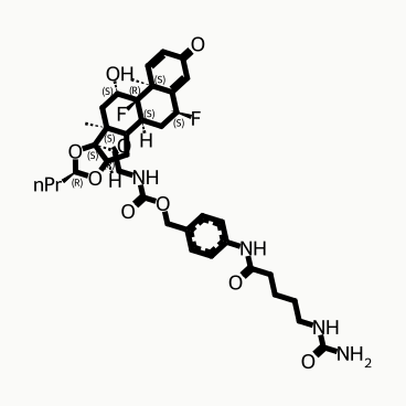 CCC[C@@H]1O[C@@H]2CC3[C@@H]4C[C@H](F)C5=CC(=O)C=C[C@]5(C)[C@@]4(F)[C@@H](O)C[C@]3(C)[C@]2(C(=O)CNC(=O)OCc2ccc(NC(=O)CCCCNC(N)=O)cc2)O1